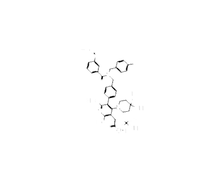 COc1cccc(C(=O)N(Cc2ccc(F)cc2)Cc2ccc(-c3c(C)nc(C)c([C@H](OC(C)(C)C)C(=O)O)c3N3CCC(C)(C)CC3)cc2)c1